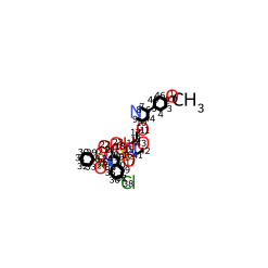 COc1ccc(-c2cncc(OCC3CN(S(=O)(=O)c4c(C(=O)O)n(S(=O)(=O)c5ccccc5)c5ccc(Cl)cc45)CCO3)c2)cc1